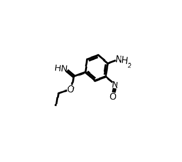 CCOC(=N)c1ccc(N)c(N=O)c1